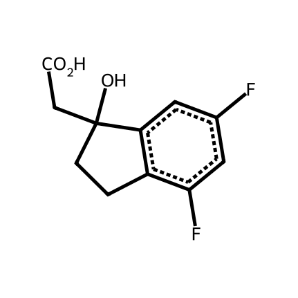 O=C(O)CC1(O)CCc2c(F)cc(F)cc21